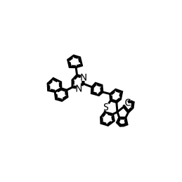 c1ccc(-c2cc(-c3cccc4ccccc34)nc(-c3ccc(-c4cccc5c4Sc4ccccc4C54c5ccccc5-c5ccccc54)cc3)n2)cc1